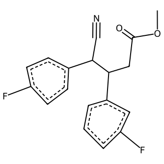 COC(=O)CC(c1cccc(F)c1)C(C#N)c1ccc(F)cc1